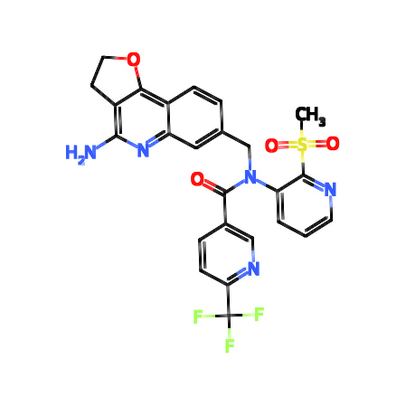 CS(=O)(=O)c1ncccc1N(Cc1ccc2c3c(c(N)nc2c1)CCO3)C(=O)c1ccc(C(F)(F)F)nc1